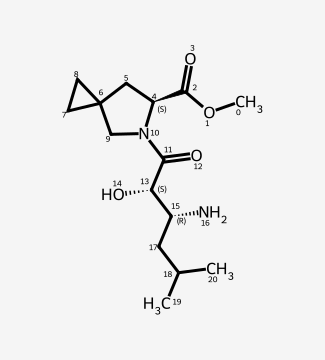 COC(=O)[C@@H]1CC2(CC2)CN1C(=O)[C@@H](O)[C@H](N)CC(C)C